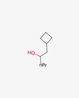 CCCC(O)CC1CCC1